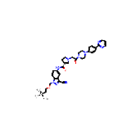 C[Si](C)(C)CCOCn1nc(C#N)c2cc(NC(=O)[C@@H]3CCN(CC(=O)N4CCN(c5ccc(-c6ncccn6)cc5)CC4)C3)ccc21